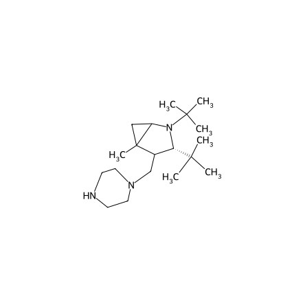 CC12CC1N(C(C)(C)C)[C@H](C(C)(C)C)C2CN1CCNCC1